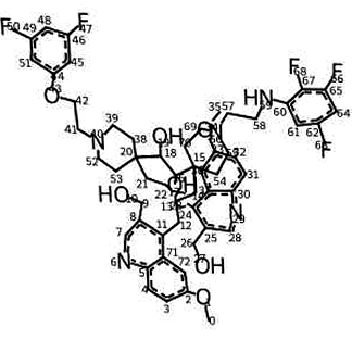 COc1ccc2ncc(CO)c(CCCC3(C(O)C(O)C4(CCCc5c(CO)cnc6ccc(OC)cc56)CCN(CCOc5cc(F)cc(F)c5)CC4)CCN(CCNc4cc(F)cc(F)c4F)CC3)c2c1